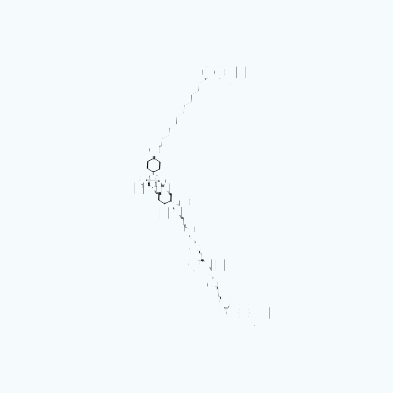 O=C(O)CCCCCCCCCCCCCOc1ccc(S(=O)(=O)Nc2ccc(C(=O)NCCOCCOCC(=O)NCCOCCOCC(=O)O)cn2)cc1